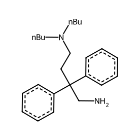 CCCCN(CCCC)CCC(CN)(c1ccccc1)c1ccccc1